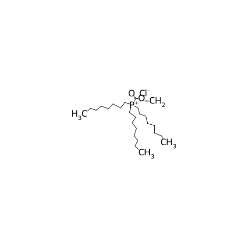 C=COC(=O)[P+](CCCCCCCC)(CCCCCCCC)CCCCCCCC.[Cl-]